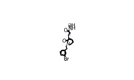 O=C(/C=C/c1cccn(CCc2cccc(Br)c2)c1=O)NO